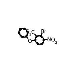 O=[N+]([O-])c1ccc(Oc2ccccc2)c(C(F)(F)F)c1Br